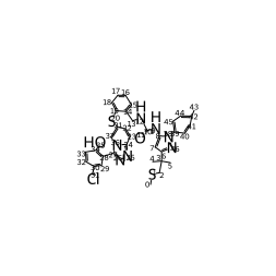 CSCC(C)(C)c1cc(NC(=O)NCc2ccccc2Sc2ccc3nnc(-c4cc(Cl)ccc4O)n3c2)n(-c2ccc(C)cc2)n1